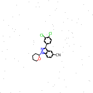 N#Cc1ccc2c(c1)c(-c1ccc(Cl)c(Cl)c1)nn2C1CCCCO1